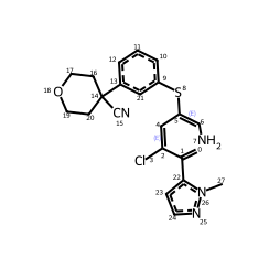 C=C(/C(Cl)=C\C(=C/N)Sc1cccc(C2(C#N)CCOCC2)c1)c1ccnn1C